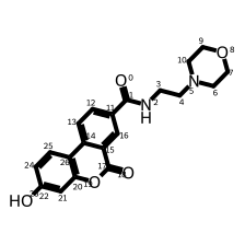 O=C(NCCN1CCOCC1)c1ccc2c(c1)c(=O)oc1cc(O)ccc12